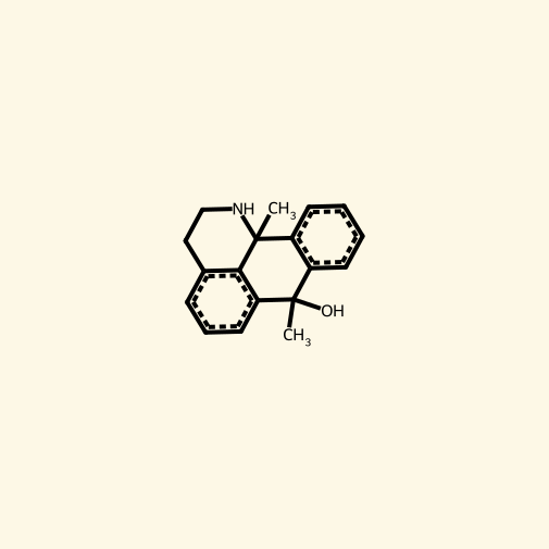 CC1(O)c2ccccc2C2(C)NCCc3cccc1c32